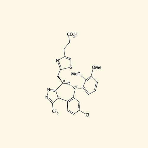 COc1cccc([C@H]2O[C@H](Cc3nc(CCC(=O)O)cs3)c3nnc(C(F)(F)F)n3-c3ccc(Cl)cc32)c1OC